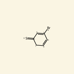 S=C1C=C(Br)C=CC1